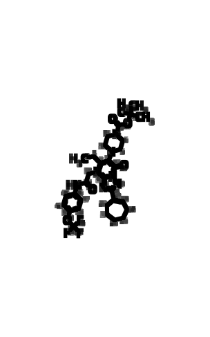 CCc1c(N2CCN(C(=O)OC(C)(C)C)CC2)c(=O)n2nc(C3=CCCCCC3)nc2n1CC(=O)Nc1ccc(OC(F)(F)F)cc1